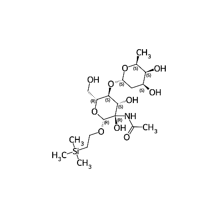 CC(=O)N[C@]1(O)[C@H](OCC[Si](C)(C)C)O[C@H](CO)[C@@H](O[C@H]2C[C@H](O)[C@H](O)[C@H](C)O2)[C@@H]1O